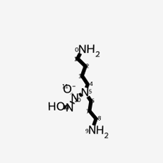 NCCCCN(CCCN)[N+]([O-])=NO